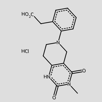 Cl.Cn1c(=O)[nH]c2c(c1=O)CN(c1ccccc1CC(=O)O)CC2